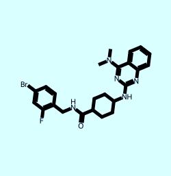 CN(C)c1nc(NC2CCC(C(=O)NCc3ccc(Br)cc3F)CC2)nc2ccccc12